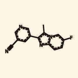 Cc1c(-c2cncc(C#N)c2)nc2ccc(F)cn12